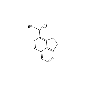 CC(C)C(=O)c1ccc2cccc3c2c1CC3